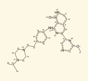 COc1cncc(-c2cc3cc[nH]c(=O)c3c(Nc3ccc(CCN4CCN(C(C)C)CC4)cc3)n2)n1